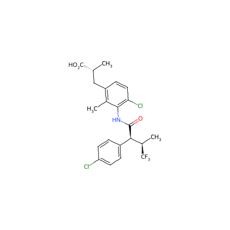 Cc1c(C[C@@H](C)C(=O)O)ccc(Cl)c1NC(=O)[C@H](c1ccc(Cl)cc1)[C@@H](C)C(F)(F)F